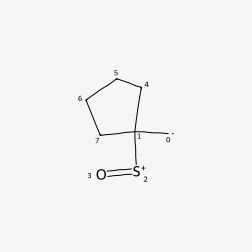 [CH2]C1([S+]=O)CCCC1